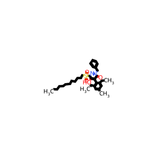 CCCCCCCCCCCCS(=O)(=O)c1nn(Cc2ccccc2)c(=O)c(-c2c(CC)cc(C)cc2CC)c1O